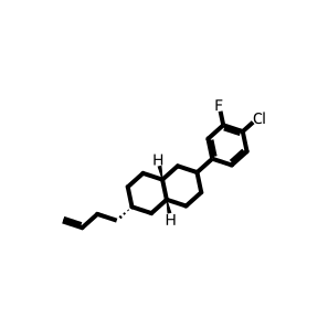 C=CCC[C@@H]1CC[C@@H]2CC(c3ccc(Cl)c(F)c3)CC[C@@H]2C1